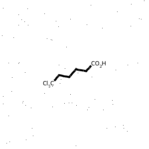 O=C(O)C[CH]CCC(Cl)(Cl)Cl